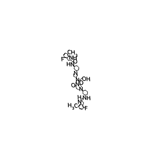 Cc1ccc(F)c2c1NC(CN[C@@H]1CCC[C@@H](N3CCC(=O)N(CN(C(=O)CO)C4CCN([C@H]5CCC[C@@H](NC(=O)C6Cc7c(F)ccc(C)c7N6)C5)C4)CC3)C1)C2